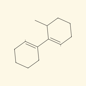 CC1CCC[C]=C1C1=[C]CCCC1